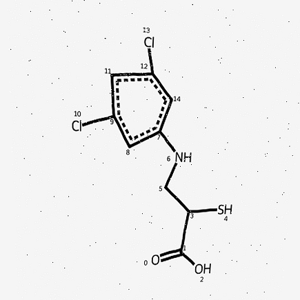 O=C(O)C(S)CNc1cc(Cl)cc(Cl)c1